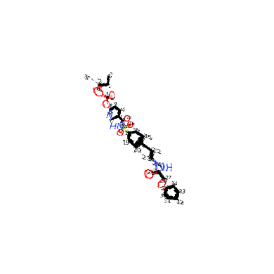 CC[C@@H](C)OC(=O)Oc1ccc(C(=O)NS(=O)(=O)c2ccc(CCNC(=O)COc3ccccc3)cc2)cn1